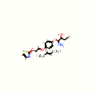 CC(C)CC(O)C(N)Oc1ccc(OCCOc2nccs2)cc1.O=C(O)C=CC(=O)O